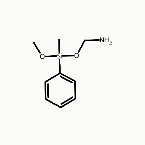 CO[Si](C)(OCN)c1ccccc1